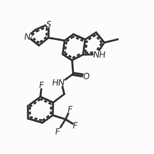 Cc1cc2cc(-c3cncs3)cc(C(=O)NCc3c(F)cccc3C(F)(F)F)c2[nH]1